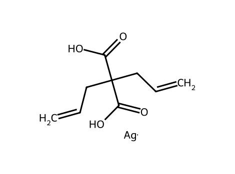 C=CCC(CC=C)(C(=O)O)C(=O)O.[Ag]